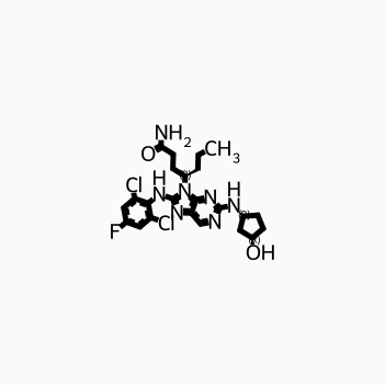 CCC[C@H](CCC(N)=O)n1c(Nc2c(Cl)cc(F)cc2Cl)nc2cnc(N[C@@H]3CC[C@@H](O)C3)nc21